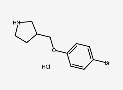 Brc1ccc(OCC2CCNC2)cc1.Cl